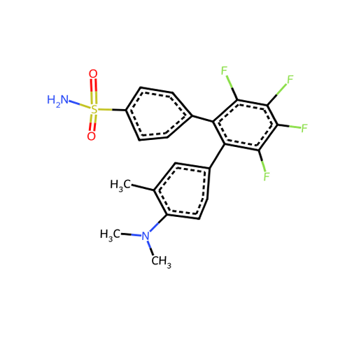 Cc1cc(-c2c(F)c(F)c(F)c(F)c2-c2ccc(S(N)(=O)=O)cc2)ccc1N(C)C